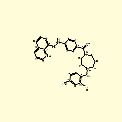 O=C(c1ccc(NSc2cccc3cccnc23)cc1)N1CCCN(Cc2ccc(Cl)cc2Cl)CC1